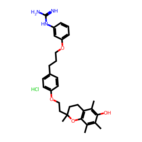 Cc1c(C)c2c(c(C)c1O)CCC(C)(CCOc1ccc(CCCOc3cccc(NC(=N)N)c3)cc1)O2.Cl